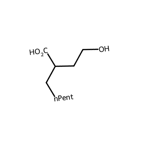 CCCCCCC(CCO)C(=O)O